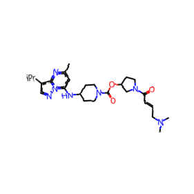 Cc1cc(NC2CCN(C(=O)OC3CCN(C(=O)C=CCN(C)C)C3)CC2)n2ncc(C(C)C)c2n1